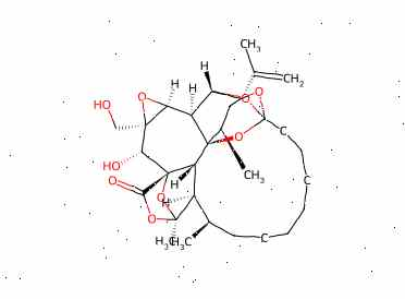 C=C(C)[C@]12C[C@@H](C)[C@]34OC5(CCCCCCC[C@@H](C)[C@@H]6[C@@H]3[C@]3(O[C@]6(C)OC3=O)[C@H](O)[C@@]3(CO)O[C@H]3[C@H]4[C@H]1O5)O2